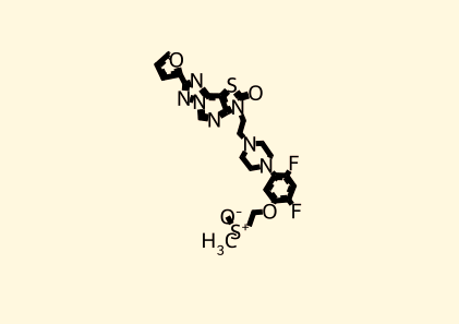 C[S+]([O-])CCOc1cc(N2CCN(CCn3c(=O)sc4c3ncn3nc(-c5ccco5)nc43)CC2)c(F)cc1F